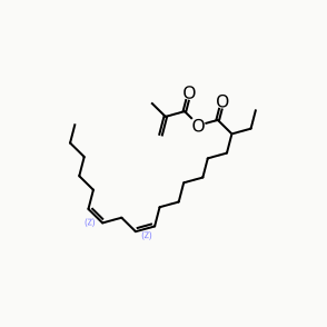 C=C(C)C(=O)OC(=O)C(CC)CCCCCC/C=C\C/C=C\CCCCC